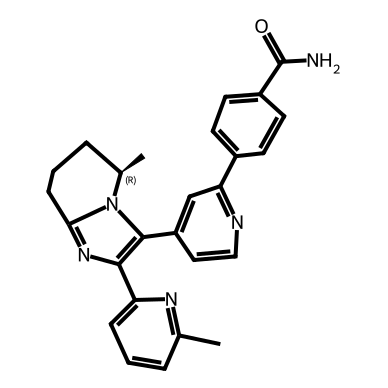 Cc1cccc(-c2nc3n(c2-c2ccnc(-c4ccc(C(N)=O)cc4)c2)[C@H](C)CCC3)n1